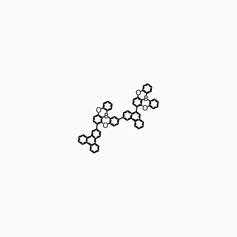 c1ccc2c(c1)Oc1ccc(-c3ccc4c5ccccc5c5ccccc5c4c3)c3c1B2c1cc(-c2ccc4c(-c5ccc6c7c5Oc5ccccc5B7c5ccccc5O6)cc5ccccc5c4c2)ccc1O3